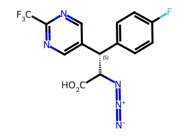 [N-]=[N+]=NC(C(=O)O)[C@@H](c1ccc(F)cc1)c1cnc(C(F)(F)F)nc1